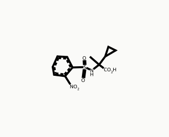 CC(NS(=O)(=O)c1ccccc1[N+](=O)[O-])(C(=O)O)C1CC1